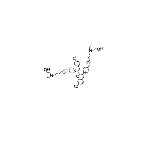 CCN(CCO)CCCCOCC1CCN(C(Cc2ccc(Cl)cc2)C(=O)C(Cc2ccc(Cl)cc2)N2CCC(COCCCCN(CC)CCO)CC2)CC1